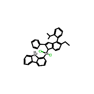 CCc1ccc2c(c1-c1ccccc1C(C)C)C=C(c1ccccc1)[CH]2[Zr]([Cl])([Cl])[c]1cccc2c1[SiH2]c1ccccc1-2